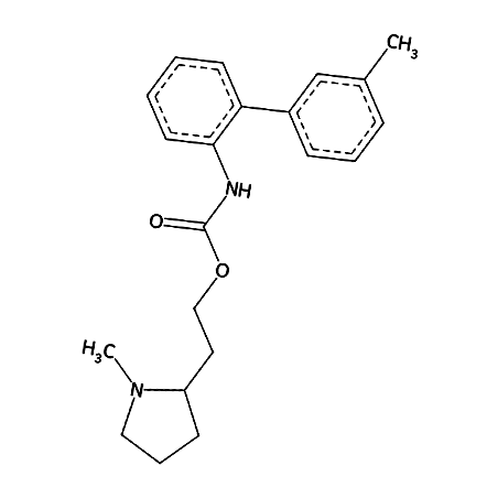 Cc1cccc(-c2ccccc2NC(=O)OCCC2CCCN2C)c1